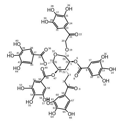 O=C(CC[C@H]1[C@H](OC(=O)c2cc(O)c(O)c(O)c2)[C@@H](OCC(=O)c2cc(O)c(O)c(O)c2)O[C@@H](OC(=O)c2cc(O)c(O)c(O)c2)[C@@H]1OC(=O)c1cc(O)c(O)c(O)c1)c1cc(O)c(O)c(O)c1